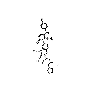 CC(CC1CCCC1)CC(C(=O)O)N(Cc1ccc(-n2c(N)c(C(=O)c3ccc(F)cc3)ccc2=O)cc1)C(=O)OC(C)(C)C